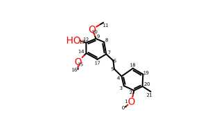 COc1cc(CCc2cc(OC)c(O)c(OC)c2)ccc1C